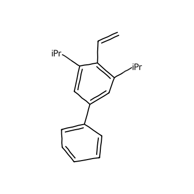 C=Cc1c(C(C)C)cc(-c2ccccc2)cc1C(C)C